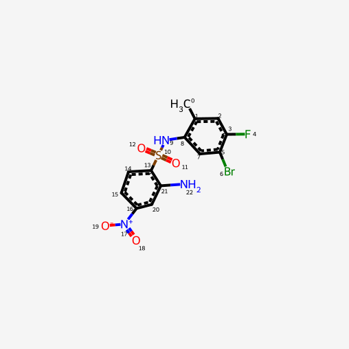 Cc1cc(F)c(Br)cc1NS(=O)(=O)c1ccc([N+](=O)[O-])cc1N